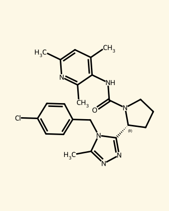 Cc1cc(C)c(NC(=O)N2CCC[C@@H]2c2nnc(C)n2Cc2ccc(Cl)cc2)c(C)n1